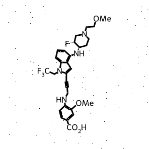 COCCN1CC[C@H](Nc2cccc3c2cc(C#CCNc2ccc(C(=O)O)cc2OC)n3CC(F)(F)F)[C@H](F)C1